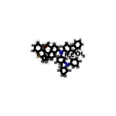 CC1(C)c2ccccc2-c2ccc(N(c3ccc4c5ccccc5n(-c5ccccc5)c4c3)c3ccc4c5c(cccc35)C3(c5ccccc5Sc5ccccc53)c3ccccc3-4)cc21